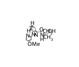 COc1ccnc(-n2nc(C(=O)NC(C)(C)CO)c3c2[C@@H]2C[C@@H]2C3)c1